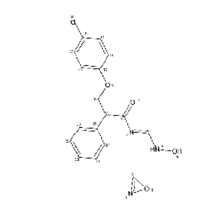 C1=NO1.O=C(N=CNO)C(COc1ccc(Cl)cc1)c1ccccc1